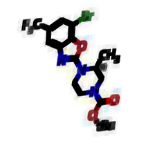 C[C@H]1CN(C(=O)OC(C)(C)C)CCN1c1nc2cc(C(F)(F)F)cc(Br)c2o1